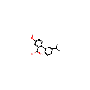 COc1ccc(-c2cccc(C(C)C)c2)c(C(=O)O)c1